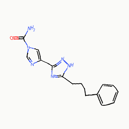 NC(=O)n1cnc(-c2n[nH]c([CH]CCc3ccccc3)n2)c1